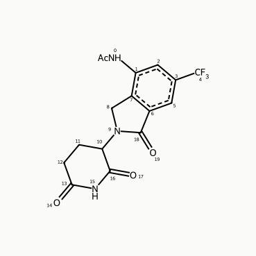 CC(=O)Nc1cc(C(F)(F)F)cc2c1CN(C1CCC(=O)NC1=O)C2=O